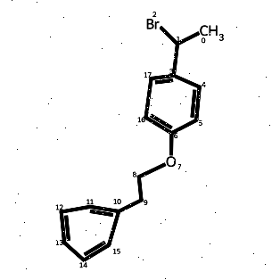 CC(Br)c1ccc(OCCc2ccccc2)cc1